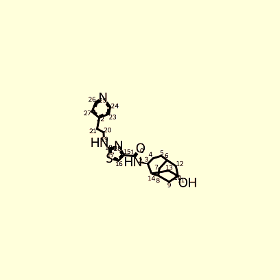 O=C(N[C@H]1CCC2CC3C[C@@](O)(C2)CC31)c1csc(NCCc2ccncc2)n1